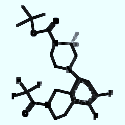 C[C@@H]1CN(c2cc(F)c(F)c3c2CN(C(=O)C(F)(F)F)CC3)CCN1C(=O)OC(C)(C)C